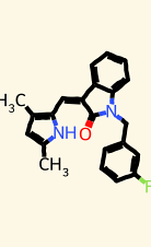 Cc1cc(C)c(/C=C2\C(=O)N(Cc3cccc(F)c3)c3ccccc32)[nH]1